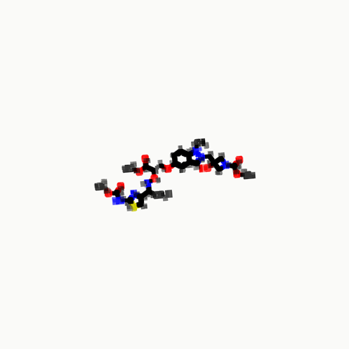 C[n+]1c2ccc(OC[C@H](O/N=C(\C(=O)O)c3csc(NC(=O)OC(C)(C)C)n3)C(=O)OC(C)(C)C)cc2cn1CC1(O)CN(C(=O)OC(C)(C)C)C1